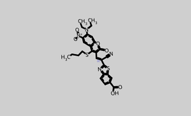 CCCCSc1c(/C=C(\C#N)c2nc3ccc(C(=O)O)cc3s2)c(=O)oc2cc(N(CC)CC)c([N+](=O)[O-])cc12